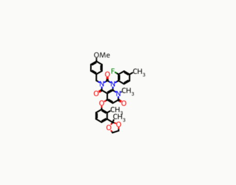 COc1ccc(Cn2c(=O)c3c(Oc4cccc(C5(C)OCCO5)c4C)cc(=O)n(C)c3n(-c3ccc(C)cc3F)c2=O)cc1